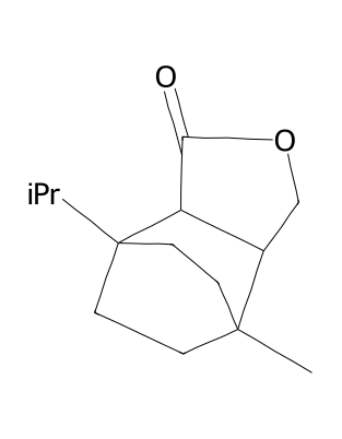 CC(C)C12CCC(C)(CC1)C1COC(=O)C12